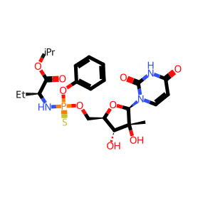 CC[C@H](NP(=S)(OC[C@H]1O[C@@H](n2ccc(=O)[nH]c2=O)[C@](C)(O)[C@@H]1O)Oc1ccccc1)C(=O)OC(C)C